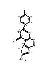 Nc1nc2ccc3nc(-c4ccc(F)cc4)[nH]c(=O)c3c2s1